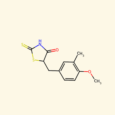 COc1ccc(CC2SC(=S)NC2=O)cc1C